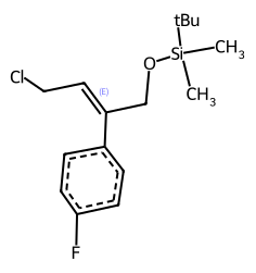 CC(C)(C)[Si](C)(C)OC/C(=C/CCl)c1ccc(F)cc1